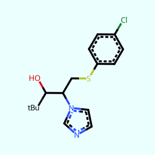 CC(C)(C)C(O)C(CSc1ccc(Cl)cc1)n1ccnc1